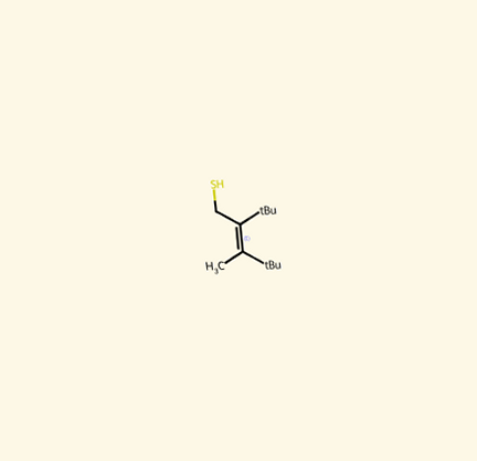 C/C(=C(\CS)C(C)(C)C)C(C)(C)C